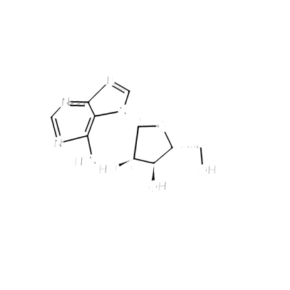 Nc1ncnc2pcn([C@@H]3O[C@H](CO)[C@@H](O)[C@H]3O)c12